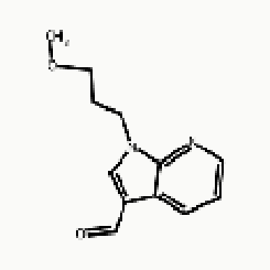 COCCCn1cc(C=O)c2cccnc21